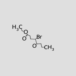 CCCC(=O)C(Br)CCC(=O)OCC